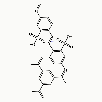 C=Nc1ccc(/C=C/c2ccc(N=C(C)c3cc(C(=C)C)cc(C(=C)C)c3)cc2S(=O)(=O)O)c(S(=O)(=O)O)c1